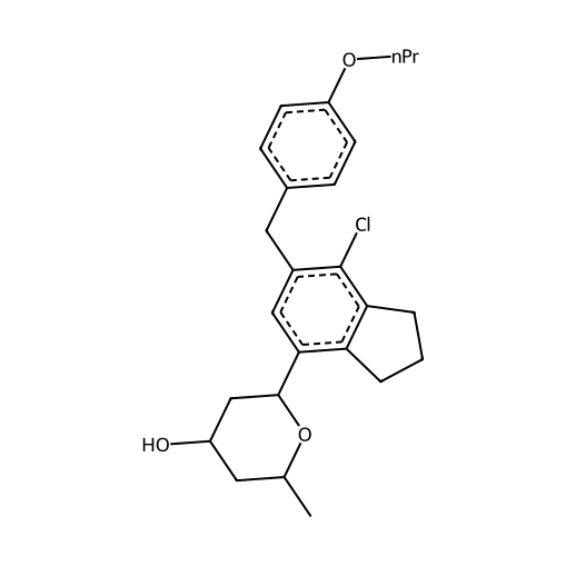 CCCOc1ccc(Cc2cc(C3CC(O)CC(C)O3)c3c(c2Cl)CCC3)cc1